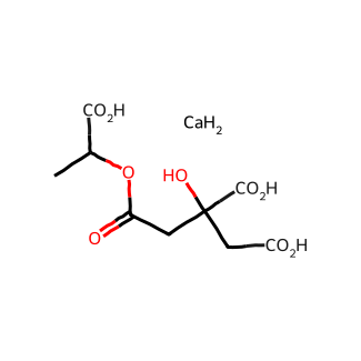 CC(OC(=O)CC(O)(CC(=O)O)C(=O)O)C(=O)O.[CaH2]